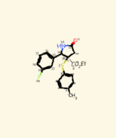 CCOC(=O)[C@@]1(Sc2ccc(C)cc2)CC(=O)NC1c1cccc(F)c1